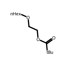 CCCCCCOCCOC(=O)C(C)(C)C